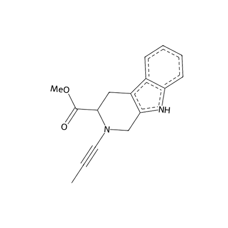 CC#CN1Cc2[nH]c3ccccc3c2CC1C(=O)OC